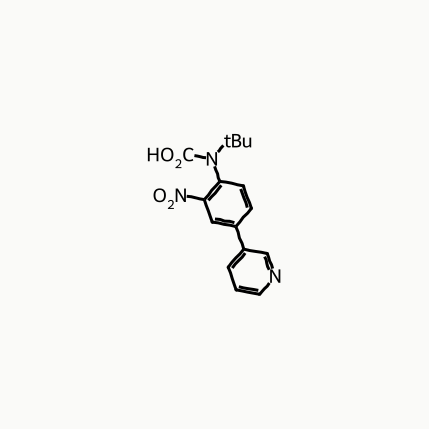 CC(C)(C)N(C(=O)O)c1ccc(-c2cccnc2)cc1[N+](=O)[O-]